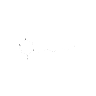 Cc1ccc(C(C)(C)C)cc1OCCCCO